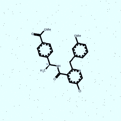 COC(=O)c1ccc([C@H](C)NC(=O)c2cc(Cl)cnc2Cc2cccc(OC)c2)cc1